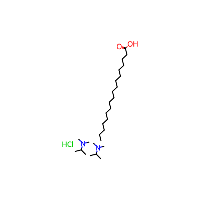 CC(C)N(C)C.CC(C)N(C)C.CCCCCCCCCCCCCCCCCC(=O)O.Cl